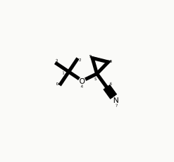 CC(C)(C)OC1(C#N)CC1